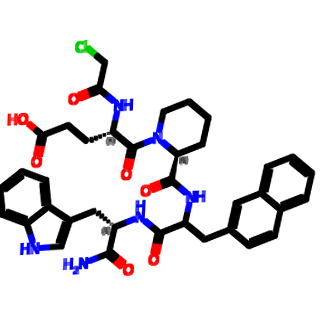 NC(=O)[C@H](Cc1c[nH]c2ccccc12)NC(=O)C(Cc1ccc2ccccc2c1)NC(=O)[C@@H]1CCCCN1C(=O)[C@H](CCC(=O)O)NC(=O)CCl